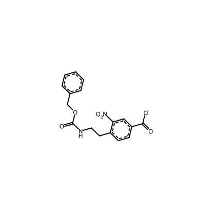 O=C(NCCc1ccc(C(=O)Cl)cc1[N+](=O)[O-])OCc1ccccc1